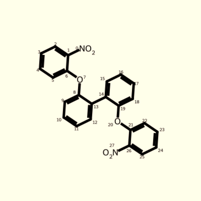 O=[N+]([O-])c1ccccc1Oc1ccccc1-c1ccccc1Oc1ccccc1[N+](=O)[O-]